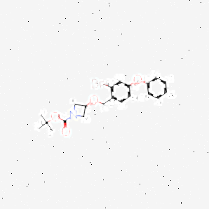 CC(C)(C)OC(=O)N1CC(OCc2ccc(Oc3ccccc3)cc2Br)C1